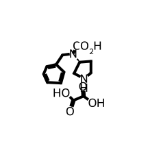 O=C(O)C(=O)O.O=C(O)N(Cc1ccccc1)[C@@H]1CCNC1